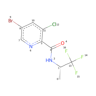 C[C@H](NC(=O)c1ncc(Br)cc1Cl)C(F)(F)F